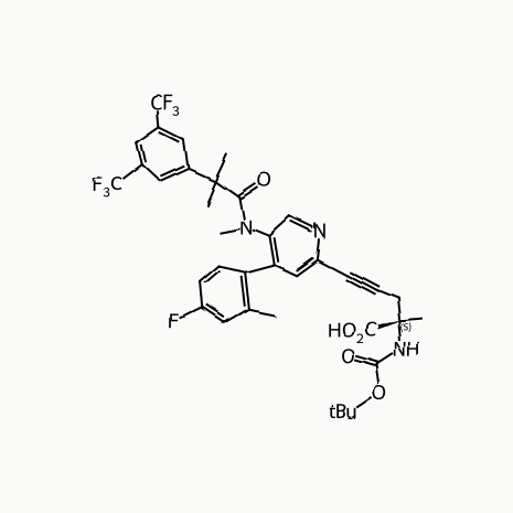 Cc1cc(F)ccc1-c1cc(C#CC[C@](C)(NC(=O)OC(C)(C)C)C(=O)O)ncc1N(C)C(=O)C(C)(C)c1cc(C(F)(F)F)cc(C(F)(F)F)c1